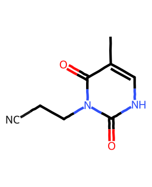 Cc1c[nH]c(=O)n(CCC#N)c1=O